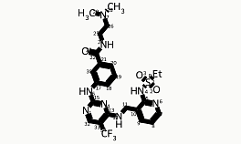 CCS(=O)(=O)Nc1ncccc1CNc1nc(Nc2cccc(C(=O)NCCN(C)C)c2)ncc1C(F)(F)F